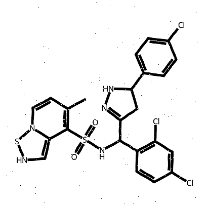 CC1=C(S(=O)(=O)NC(C2=NNC(c3ccc(Cl)cc3)C2)c2ccc(Cl)cc2Cl)C2=CNSN2C=C1